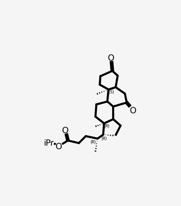 CC(C)OC(=O)CC[C@@H](C)[C@H]1CCC2C3C(=O)CC4CC(=O)CC[C@]4(C)C3CC[C@@]21C